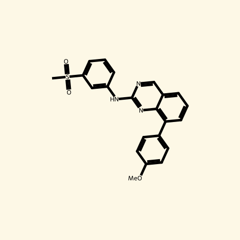 COc1ccc(-c2cccc3cnc(Nc4cccc(S(C)(=O)=O)c4)nc23)cc1